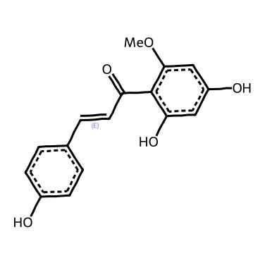 COc1cc(O)cc(O)c1C(=O)/C=C/c1ccc(O)cc1